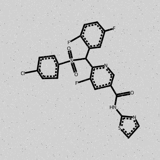 O=C(Nc1nccs1)c1cnc(C(c2cc(F)ccc2F)S(=O)(=O)c2ccc(Cl)cc2)c(F)c1